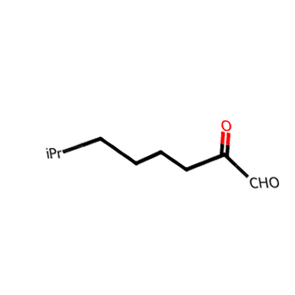 CC(C)CCCCC(=O)C=O